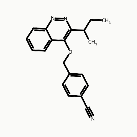 CCC(C)c1nnc2ccccc2c1OCc1ccc(C#N)cc1